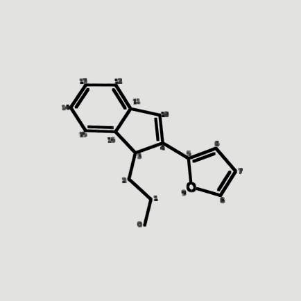 CCC[C]1C(c2ccco2)=Cc2ccccc21